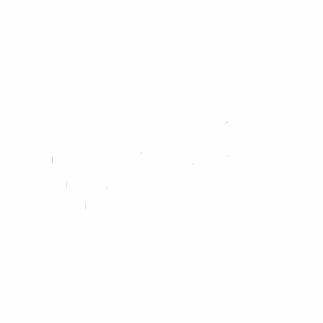 CO[Si](C)(CCCCCCC1CC2CCC1C2)OC